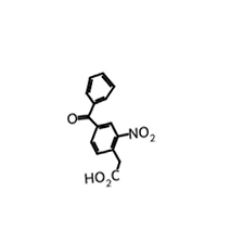 O=C(O)Cc1ccc(C(=O)c2ccccc2)cc1[N+](=O)[O-]